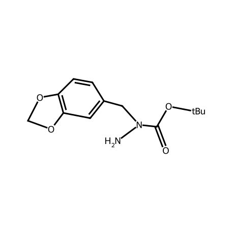 CC(C)(C)OC(=O)N(N)Cc1ccc2c(c1)OCO2